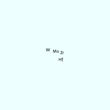 [Hf].[Mo].[W].[Zr]